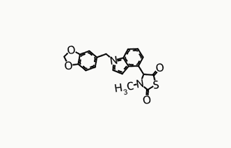 CN1C(=O)SC(=O)C1c1cccc2c1ccn2Cc1ccc2c(c1)OCO2